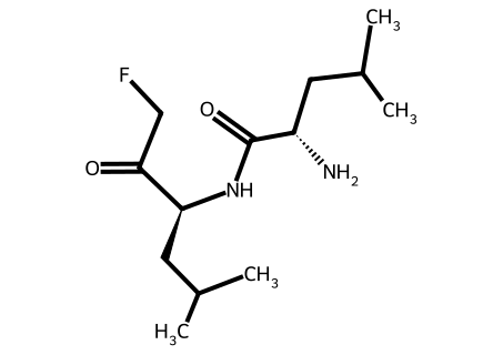 CC(C)C[C@H](NC(=O)[C@@H](N)CC(C)C)C(=O)CF